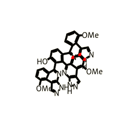 COc1cccc2c(-c3ccc(O)c(-c4nc5[nH]ncc5c5c(OC)cccc45)c3-c3nc4[nH]ncc4c4c(OC)cccc34)nc3[nH]ncc3c12